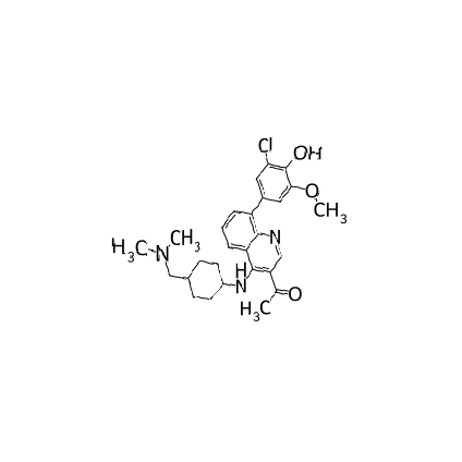 COc1cc(-c2cccc3c(NC4CCC(CN(C)C)CC4)c(C(C)=O)cnc23)cc(Cl)c1O